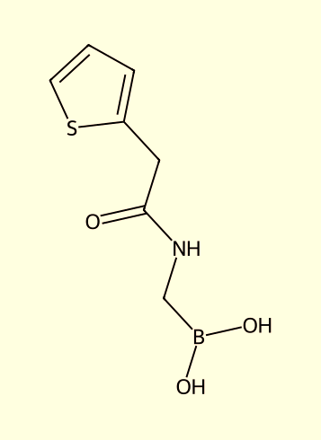 O=C(Cc1cccs1)NCB(O)O